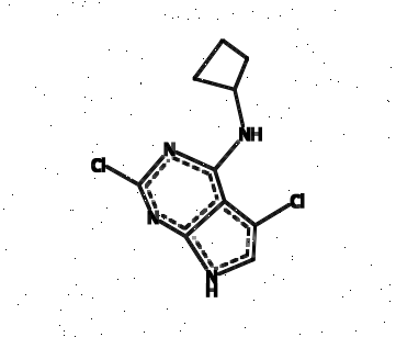 Clc1nc(NC2CCC2)c2c(Cl)c[nH]c2n1